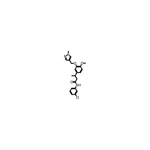 COc1ccc(C(C)CC(=O)Nc2cccc(Cl)c2)cc1OCc1cnn(C)c1